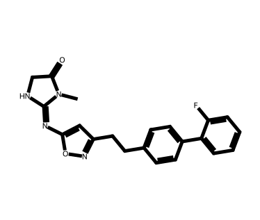 CN1C(=O)CNC1=Nc1cc(CCc2ccc(-c3ccccc3F)cc2)no1